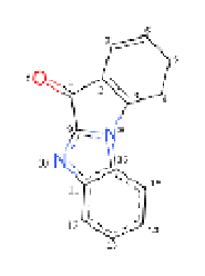 O=C1C2=C(CCC=C2)n2c1nc1ccccc12